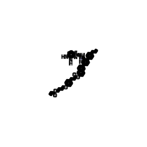 C=CC(=O)OCCCCOc1ccc(CCC(=O)Oc2ccc3cc(-c4ccc(-c5ccc(CCC)cc5)c(/C=N/Nc5nc6c(s5)C=CC(=N)C6=N)c4F)ccc3c2)cc1